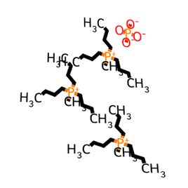 CCCC[P+](C)(CCCC)CCCC.CCCC[P+](C)(CCCC)CCCC.CCCC[P+](C)(CCCC)CCCC.O=P([O-])([O-])[O-]